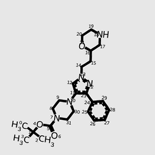 CC(C)(C)OC(=O)N1CCN(c2cn(CCC3CNCCO3)nc2-c2ccccc2)CC1